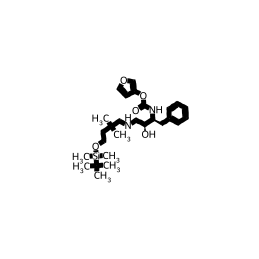 CC(C)(CCO[Si](C)(C)C(C)(C)C)CNC[C@@H](O)[C@H](Cc1ccccc1)NC(=O)Oc1ccoc1